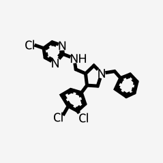 Clc1cnc(NCC2CN(Cc3ccccc3)CC2c2ccc(Cl)c(Cl)c2)nc1